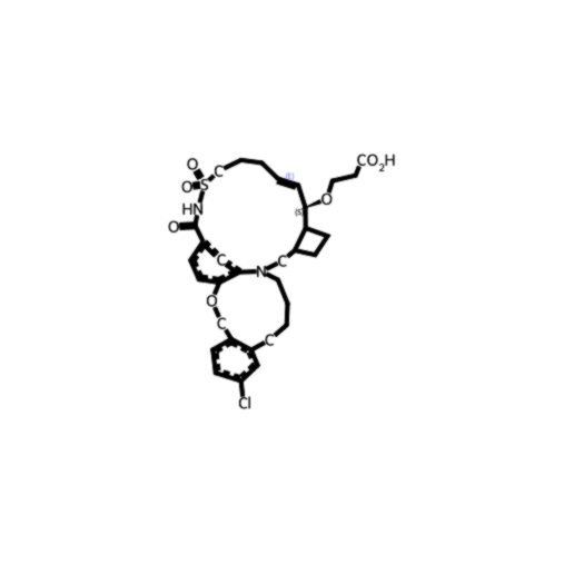 O=C(O)CCO[C@@H]1/C=C/CCCS(=O)(=O)NC(=O)c2ccc3c(c2)N(CCCCc2cc(Cl)ccc2CO3)CC2CCC21